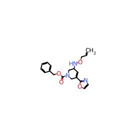 C=CCONC1C=C(c2ncco2)CN(C(=O)OCc2ccccc2)C1